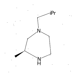 CC(C)CN1CCN[C@@H](C)C1